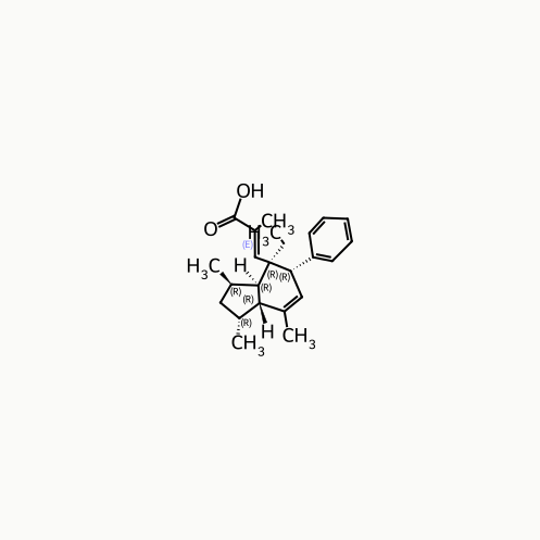 CC[C@@]1(/C=C(\C)C(=O)O)[C@H]2[C@H](C(C)=C[C@H]1c1ccccc1)[C@H](C)C[C@H]2C